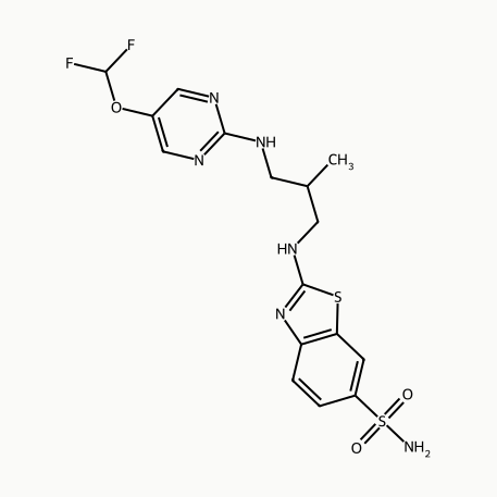 CC(CNc1ncc(OC(F)F)cn1)CNc1nc2ccc(S(N)(=O)=O)cc2s1